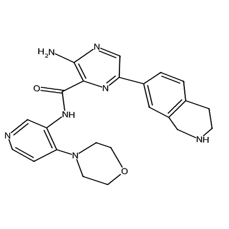 Nc1ncc(-c2ccc3c(c2)CNCC3)nc1C(=O)Nc1cnccc1N1CCOCC1